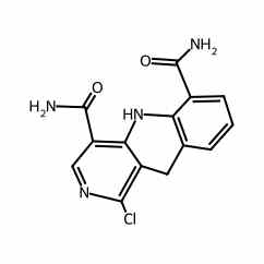 NC(=O)c1cccc2c1Nc1c(C(N)=O)cnc(Cl)c1C2